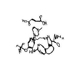 CN1CCN(c2ccc(OC(F)(F)F)c(Nc3ncc4c(n3)-c3c(c(C(N)=O)nn3CCO)CC4)c2)CC1.O=C(O)/C=C/C(=O)O